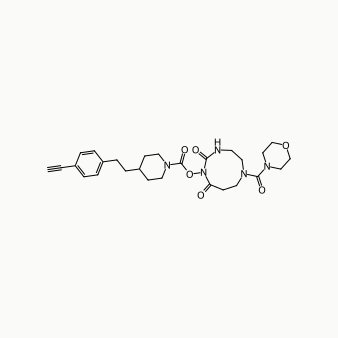 C#Cc1ccc(CCC2CCN(C(=O)ON3C(=O)CCN(C(=O)N4CCOCC4)CCNC3=O)CC2)cc1